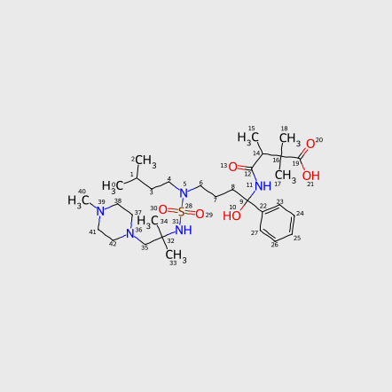 CC(C)CCN(CCCC(O)(NC(=O)C(C)C(C)(C)C(=O)O)c1ccccc1)S(=O)(=O)NC(C)(C)CN1CCN(C)CC1